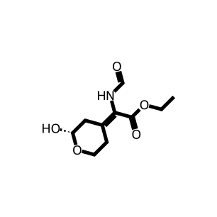 CCOC(=O)/C(NC=O)=C1\CCO[C@H](O)C1